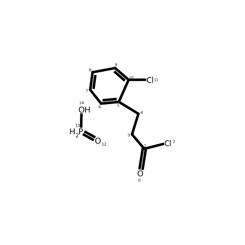 O=C(Cl)CCc1ccccc1Cl.O=[PH2]O